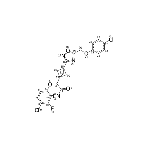 NC(=O)C(Oc1ccc(Cl)c(F)c1)C12CC(c3noc(COc4ccc(Cl)cc4)n3)(C1)C2